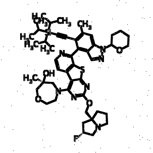 Cc1cc2c(cnn2C2CCCCO2)c(-c2nccc3c2sc2nc(OC[C@@]45CCCN4C[C@H](F)C5)nc(N4CCOC[C@@](C)(O)C4)c23)c1C#C[Si](C(C)C)(C(C)C)C(C)C